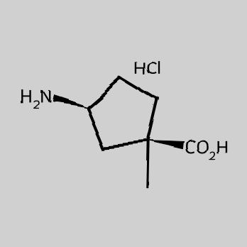 C[C@@]1(C(=O)O)CC[C@H](N)C1.Cl